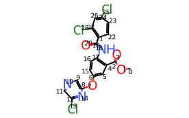 COC(=O)c1cc(Oc2cncc(Cl)n2)ccc1NC(=O)c1ccc(Cl)cc1Cl